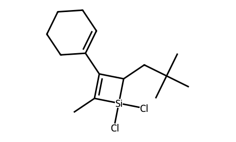 CC1=C(C2=CCCCC2)C(CC(C)(C)C)[Si]1(Cl)Cl